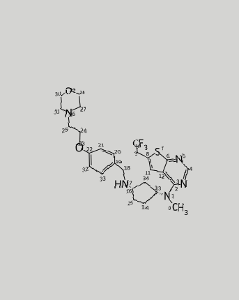 CN(c1ncnc2sc(CC(F)(F)F)cc12)[C@@H]1CC[C@H](NCc2ccc(OCCN3CCOCC3)cc2)C1